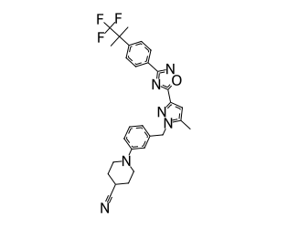 Cc1cc(-c2nc(-c3ccc(C(C)(C)C(F)(F)F)cc3)no2)nn1Cc1cccc(N2CCC(C#N)CC2)c1